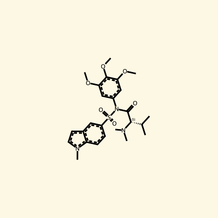 COc1cc(N(C(=O)[C@H](C(C)C)N(C)C)S(=O)(=O)c2ccc3c(ccn3C)c2)cc(OC)c1OC